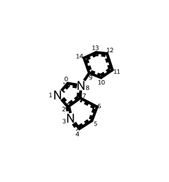 [c]1nc2ncccc2n1-c1ccccc1